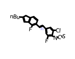 CCCCC1=Cc2c(ccc(/C=C/c3cc(F)c(N=C=S)c(Cl)c3)c2F)C1